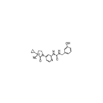 N#C[C@@]1(C2CC2)CCN(c2ccnc(NC(=O)NCc3cccc(O)c3)c2)C1=O